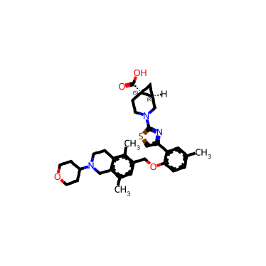 Cc1ccc(OCc2cc(C)c3c(c2C)CCN(C2CCOCC2)C3)c(-c2csc(N3CC[C@@]4(C(=O)O)C[C@H]4C3)n2)c1